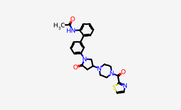 CC(=O)Nc1ccccc1-c1cccc(N2CC(N3CCN(C(=O)c4nccs4)CC3)CC2=O)c1